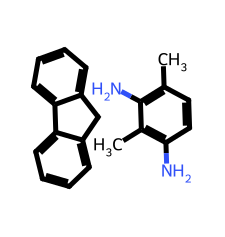 Cc1ccc(N)c(C)c1N.c1ccc2c(c1)Cc1ccccc1-2